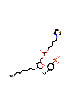 CCCCCCCCCCCCCCCC[C@@H]1CO[C@@H](COC(=O)OCCCC[n+]2ccsc2)C1.Cc1ccc(S(=O)(=O)[O-])cc1